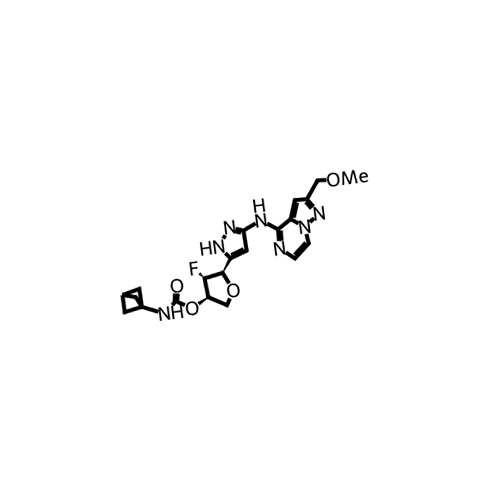 COCc1cc2c(Nc3cc([C@H]4OC[C@@H](OC(=O)NC56CC(C5)C6)[C@@H]4F)[nH]n3)nccn2n1